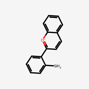 [SiH3]c1ccccc1-c1ccc2ccccc2[o+]1